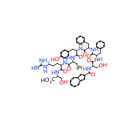 CC(C)CC(NC(=O)C(Cc1ccc(O)cc1)NC(=O)C(Cc1ccccc1)NC(=O)C(Cc1ccccc1)NC(=O)C(CO)NC(=O)c1cc2cccccc-2c1)C(=O)NC(CCCNC(=N)N)C(=O)NC(CO)C(=O)O